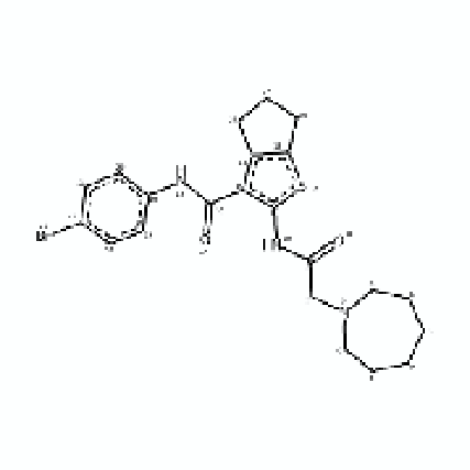 O=C(CN1CCCCCC1)Nc1sc2c(c1C(=O)Nc1ccc(Br)cc1)CCC2